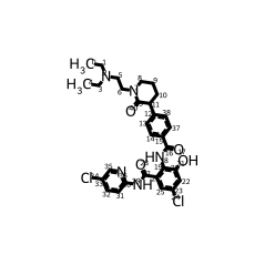 CCN(CC)CCN1CCCC(c2ccc(C(=O)Nc3c(O)cc(Cl)cc3C(=O)Nc3ccc(Cl)cn3)cc2)C1=O